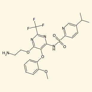 COc1ccccc1Oc1c(NS(=O)(=O)c2ccc(C(C)C)cn2)nc(C(F)(F)F)nc1OCCN